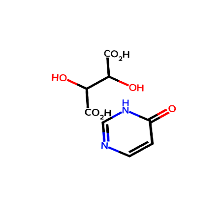 O=C(O)C(O)C(O)C(=O)O.O=c1ccnc[nH]1